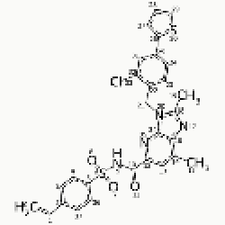 C=Cc1ccc(S(=O)(=O)NC(=O)c2cc(C)c3nc(C)n(Cc4ccc(-c5cccs5)cc4Cl)c3n2)cc1